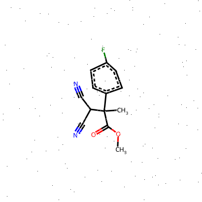 COC(=O)C(C)(c1ccc(F)cc1)C(C#N)C#N